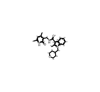 Cc1cc(C)c(CNC(=O)c2c(C)n(CC3CCOCC3)c3ccccc23)c(=O)[nH]1